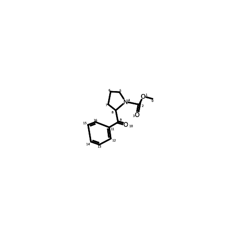 COC(=O)N1CCCC1C(=O)c1ccccc1